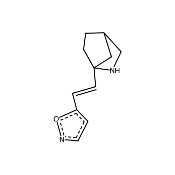 C(=C\C12CCC(CN1)C2)/c1ccno1